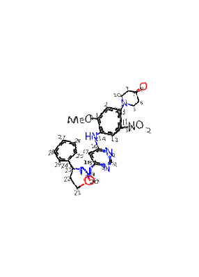 COc1cc(N2CCC(=O)CC2)c([N+](=O)[O-])cc1Nc1cc(N2OCCC2c2ccccc2)ncn1